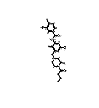 CCCC(=O)N1CCN(Cc2cc(Cl)cc(NC(=O)c3cnc(C)c(F)c3)c2C)CC1C